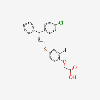 O=C(O)COc1ccc(SC/C=C(/c2ccccc2)c2ccc(Cl)cc2)cc1I